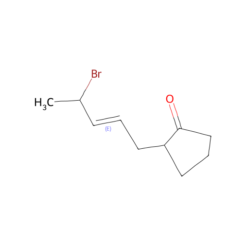 CC(Br)/C=C/CC1CCCC1=O